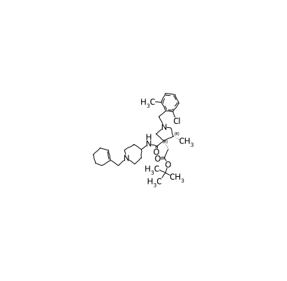 Cc1cccc(Cl)c1CN1C[C@H](C)[C@@](CC(=O)OC(C)(C)C)(C(=O)NC2CCN(CC3=CCCCC3)CC2)C1